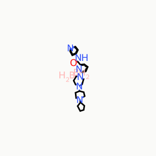 BC1(B)CCN(C2CCN(C3CCCC3)CC2)CCN1c1cccc(C(=O)Nc2ccncc2)n1